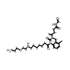 Cc1cccc(NC(=O)CCCCCCNCCOCCN)c1CN(C=O)C(C)CCC(=O)NC=O